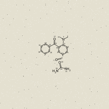 C=O.CN(C)c1ccccc1C(=O)c1ccccc1.NC(N)=O